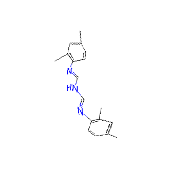 Cc1ccc(N=CNC=Nc2ccc(C)cc2C)c(C)c1